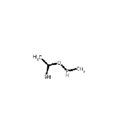 CPOC(C)S